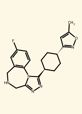 Cc1cc([C@H]2CC[C@H](c3nnc4n3-c3ccc(F)cc3CNC4)CC2)no1